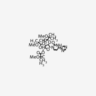 COC(C)(C)C(=O)OC[C@H]1O[C@@H](N2C=CC(n3cncn3)NC2=O)[C@H](OC(=O)C(C)(C)OC)[C@@H]1OC(O)C(C)(C)OC